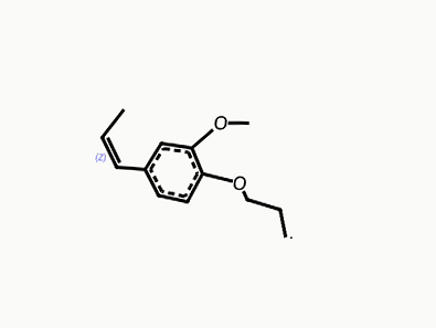 [CH2]CCOc1ccc(/C=C\C)cc1OC